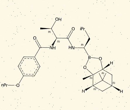 CCCOc1ccc(C(=O)N[C@H](C(=O)N[C@@H](CC(C)C)B2O[C@@H]3C[C@@H]4C[C@@H](C4(C)C)[C@]3(C)O2)[C@@H](C)O)cc1